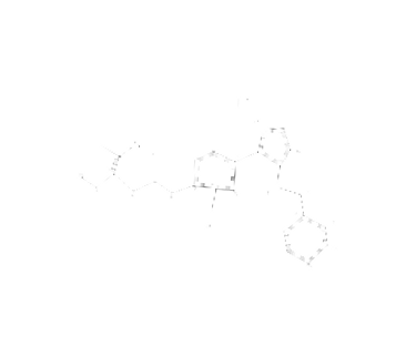 CCC(N)=C(CO)CCCc1ccc(-c2sccc2OCc2ccccc2)cc1Cl.Cl